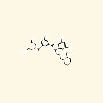 CCCN(CCC)C(=O)c1cc(C)cc(C(=O)NC(C[C@@H](O)CN2CCCCC2CC)c2cc(F)cc(F)c2)c1